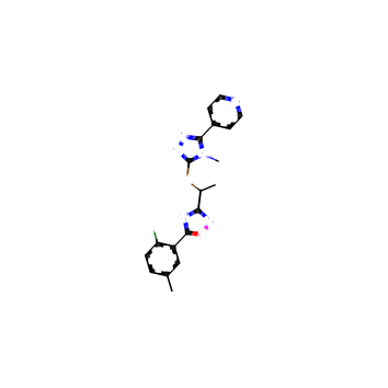 Cc1ccc(Cl)c(-c2nc(C(C)Sc3nnc(-c4ccncc4)n3C)no2)c1